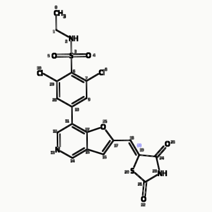 CCNS(=O)(=O)c1c(Cl)cc(-c2cncc3cc(/C=C4\SC(=O)NC4=O)oc23)cc1Cl